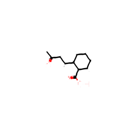 CC(=O)CCC1CCCCC1C(=O)O